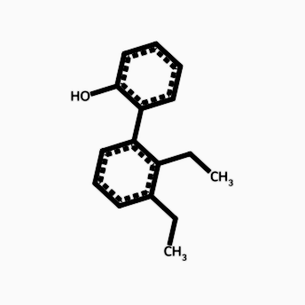 CCc1cccc(-c2ccccc2O)c1CC